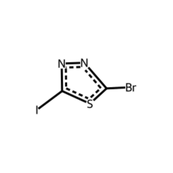 Brc1nnc(I)s1